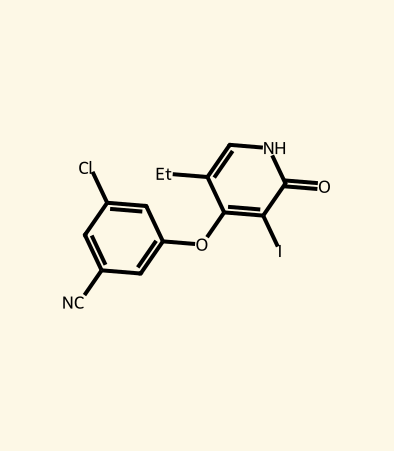 CCc1c[nH]c(=O)c(I)c1Oc1cc(Cl)cc(C#N)c1